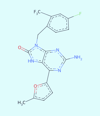 Cc1ccc(-c2nc(N)nc3c2[nH]c(=O)n3Cc2ccc(F)cc2C(F)(F)F)o1